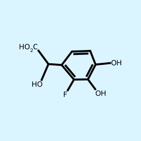 O=C(O)C(O)c1ccc(O)c(O)c1F